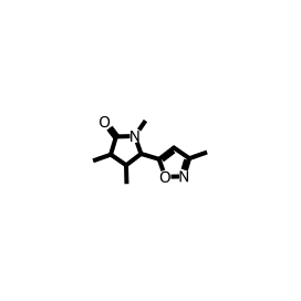 Cc1cc(C2C(C)C(C)C(=O)N2C)on1